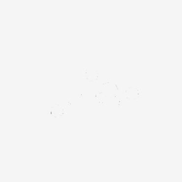 Cc1sc(N2C(=O)c3ccccc3C2=O)c(C(=O)c2ccc(Cl)cc2)c1CN1CCN(c2cccc(F)c2)CC1